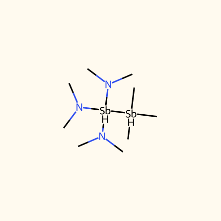 C[N](C)[SbH]([N](C)C)([N](C)C)[SbH]([CH3])([CH3])[CH3]